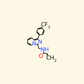 C=CC(=O)NCc1nc(-c2ccc(C(F)(F)F)cc2)c2ccccn12